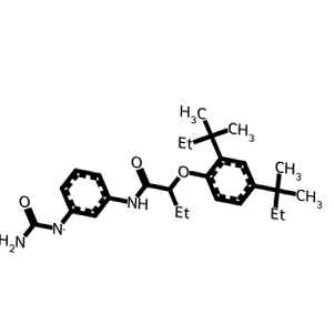 CCC(Oc1ccc(C(C)(C)CC)cc1C(C)(C)CC)C(=O)Nc1cccc([N]C(N)=O)c1